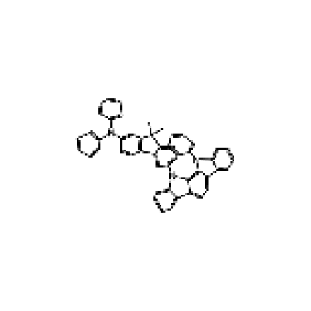 CC1(C)c2ccc(-n3c4ccccc4c4ccc5c6ccccc6n(-c6ccccc6)c5c43)cc2-c2ccc(N(c3ccccc3)c3ccccc3)cc21